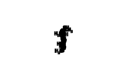 COc1ccc(N=C(NC#N)N2CCc3nc(C(=O)Nc4cc(C(C)C)ccc4N)sc3C2)cc1